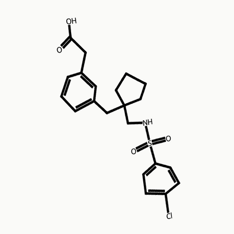 O=C(O)Cc1cccc(CC2(CNS(=O)(=O)c3ccc(Cl)cc3)CCCC2)c1